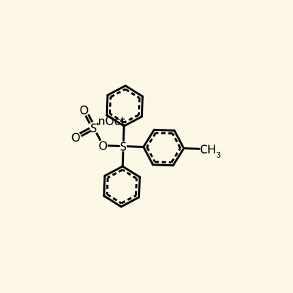 CCCCCCCCS(=O)(=O)OS(c1ccccc1)(c1ccccc1)c1ccc(C)cc1